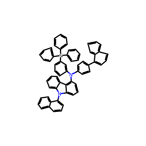 c1ccc([Si](c2ccccc2)(c2ccccc2)c2cccc(N(c3ccc(-c4cccc5ccccc45)cc3)c3cccc4c3c3ccccc3n4-c3cccc4ccccc34)c2)cc1